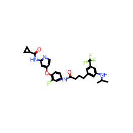 CC(C)Nc1cc(CCCC(=O)Nc2ccc(Oc3ccnc(NC(=O)C4CC4)c3)c(F)c2)cc(C(F)(F)F)c1